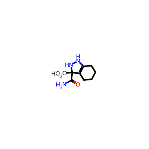 NC(=O)C1(C(=O)O)NNC2=C1CCCC2